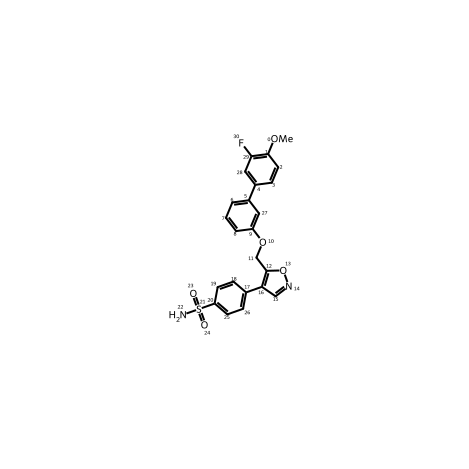 COc1ccc(-c2cccc(OCc3oncc3-c3ccc(S(N)(=O)=O)cc3)c2)cc1F